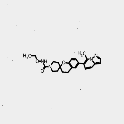 CCONC(=O)N1CCC2(CCc3cc(-c4ccc5ccnn5c4C)ccc3O2)CC1